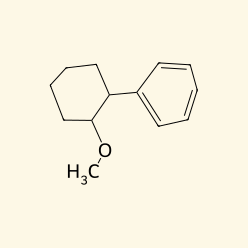 COC1CCCCC1c1ccccc1